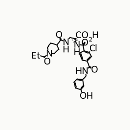 CCC(=O)N1CCC(C(=O)NC[C@H](NC(=O)c2ccc(C(=O)NCc3cccc(O)c3)cc2Cl)C(=O)O)CC1